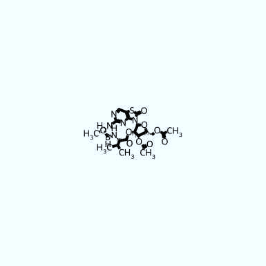 COBN[C@H](C(=O)O[C@@H]1[C@@H](OC(C)=O)[C@@H](COC(C)=O)O[C@H]1n1c(=O)sc2cnc(N)nc21)C(C)C